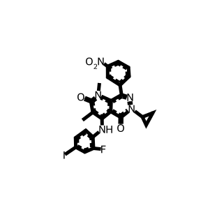 Cc1c(Nc2ccc(I)cc2F)c2c(=O)n(C3CC3)nc(-c3cccc([N+](=O)[O-])c3)c2n(C)c1=O